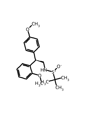 COc1ccc([C@@H](CN[S+]([O-])C(C)(C)C)c2ccccc2OC)cc1